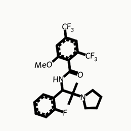 COc1cc(C(F)(F)F)cc(C(F)(F)F)c1C(=O)NC(c1ccccc1F)C(C)(C)N1CCCC1